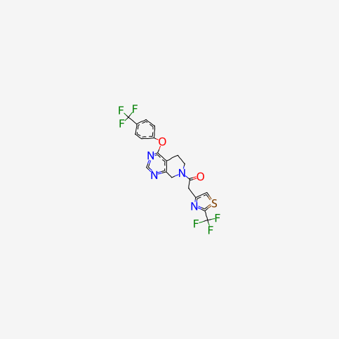 O=C(Cc1csc(C(F)(F)F)n1)N1CCc2c(ncnc2Oc2ccc(C(F)(F)F)cc2)C1